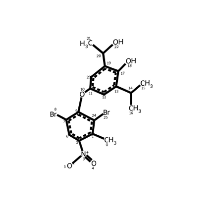 Cc1c([N+](=O)[O-])cc(Br)c(Oc2cc(C(C)C)c(O)c(C(C)O)c2)c1Br